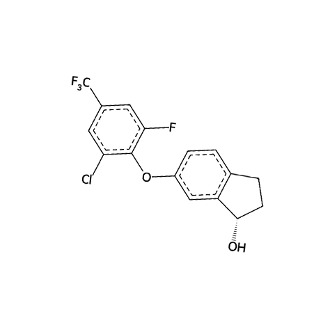 O[C@H]1CCc2ccc(Oc3c(F)cc(C(F)(F)F)cc3Cl)cc21